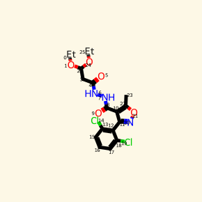 CCOC(CC(=O)NNC(=O)c1c(-c2c(Cl)cccc2Cl)noc1C)OCC